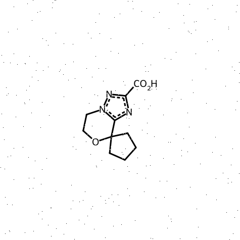 O=C(O)c1nc2n(n1)CCOC21CCCC1